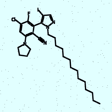 CCCCCCCCCCCCCCn1ncc(I)c1-c1c(F)c(Cl)cc(N2CCCC2)c1C#N